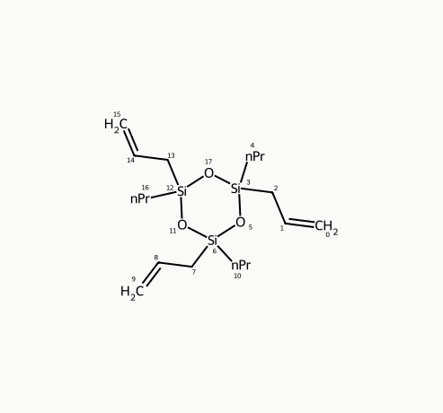 C=CC[Si]1(CCC)O[Si](CC=C)(CCC)O[Si](CC=C)(CCC)O1